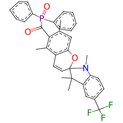 Cc1cc2c(c(C)c1C(=O)P(=O)(c1ccccc1)c1ccccc1)C=CC1(O2)N(C)c2ccc(C(F)(F)F)cc2C1(C)C